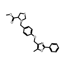 COC(=O)C1CSCN1Cc1ccc(OCc2nc(-c3ccccc3)oc2C)cc1